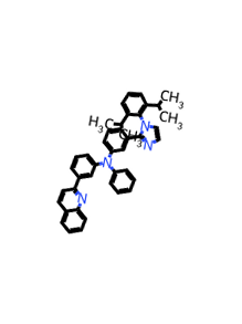 CC(C)c1cccc(C(C)C)c1-n1ccnc1-c1cccc(N(c2ccccc2)c2cccc(-c3ccc4ccccc4n3)c2)c1